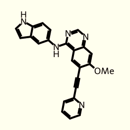 COc1cc2ncnc(Nc3ccc4[nH]ccc4c3)c2cc1C#Cc1ccccn1